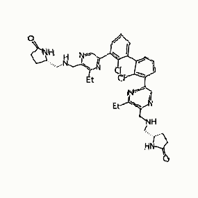 CCc1nc(-c2cccc(-c3cccc(-c4cnc(CNC[C@@H]5CCC(=O)N5)c(CC)n4)c3Cl)c2Cl)cnc1CNC[C@@H]1CCC(=O)N1